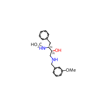 COc1cccc(CNC[C@H](O)[C@H](Cc2ccccc2)NC(=O)O)c1